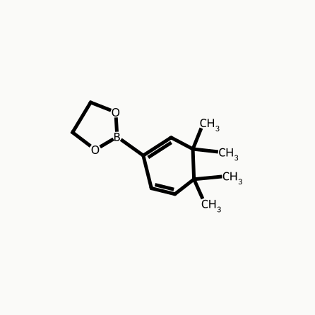 CC1(C)C=CC(B2OCCO2)=CC1(C)C